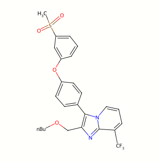 CCCCOCc1nc2c(C(F)(F)F)cccn2c1-c1ccc(Oc2cccc(S(C)(=O)=O)c2)cc1